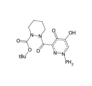 CC(C)(C)OC(=O)N1CCCCN1C(=O)c1nn(P)cc(O)c1=O